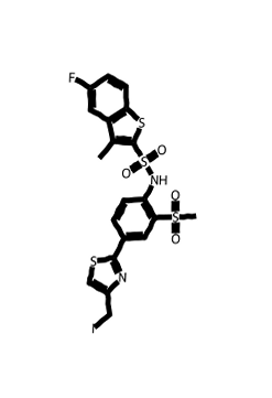 Cc1c(S(=O)(=O)Nc2ccc(-c3nc(CI)cs3)cc2S(C)(=O)=O)sc2ccc(F)cc12